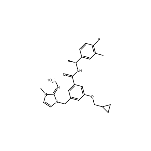 Cc1cc([C@H](C)NC(=O)c2cc(Cn3ccn(C)/c3=N\C(=O)O)cc(OCC3CC3)c2)ccc1F